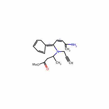 C#CCN(C(/C=C\C(=C)N)=C1\C=CC=CC1)C(C)CC(=O)OC